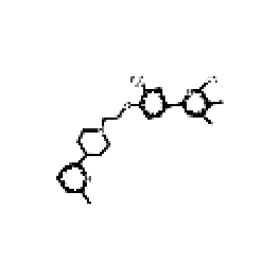 Cc1cccc(C2CCN(CCOc3ccc(-c4cc(C)c(C)c(C#N)n4)cc3C(F)(F)F)CC2)n1